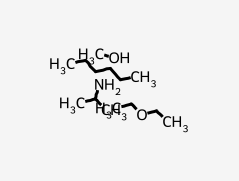 CC(C)N.CCCCCC.CCOCC.CO